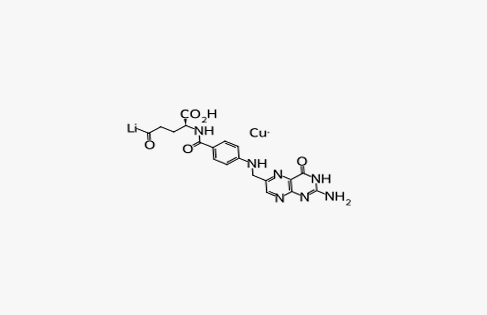 [Cu].[Li][C](=O)CC[C@H](NC(=O)c1ccc(NCc2cnc3nc(N)[nH]c(=O)c3n2)cc1)C(=O)O